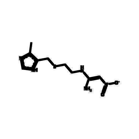 Cc1nc[nH]c1CSCCNC(N)=C[N+](=O)[O-]